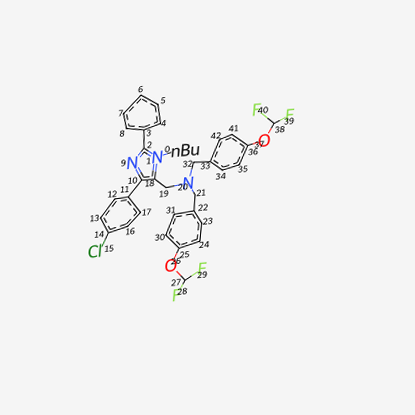 CCCCn1c(-c2ccccc2)nc(-c2ccc(Cl)cc2)c1CN(Cc1ccc(OC(F)F)cc1)Cc1ccc(OC(F)F)cc1